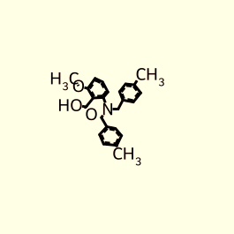 COc1cccc(N(Cc2ccc(C)cc2)Cc2ccc(C)cc2)c1C(=O)O